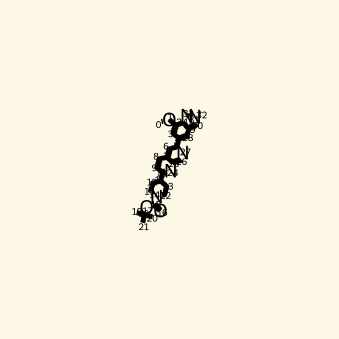 COc1cc(-c2cc3ccc(C4CCN(C(=O)OC(C)(C)C)CC4)nc3cn2)cc2cn(C)nc12